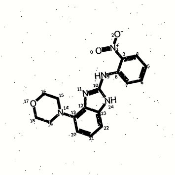 O=[N+]([O-])c1ccccc1Nc1nc2c(N3CCOCC3)cccc2[nH]1